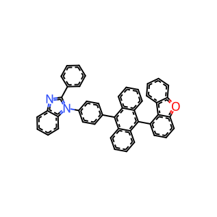 c1ccc(-c2nc3ccccc3n2-c2ccc(-c3c4ccccc4c(-c4cccc5oc6ccccc6c45)c4ccccc34)cc2)cc1